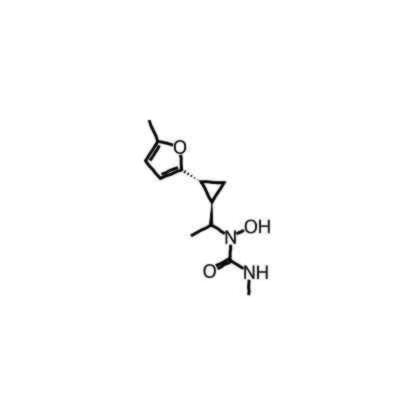 CNC(=O)N(O)C(C)[C@@H]1C[C@H]1c1ccc(C)o1